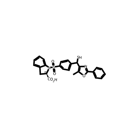 Cc1oc(-c2ccccc2)nc1C(S)c1ccc(S(=O)(=O)N2c3ccccc3C[C@@H]2C(=O)O)cc1